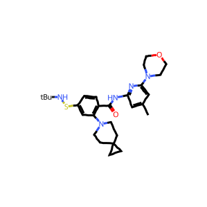 Cc1cc(NC(=O)c2ccc(SNC(C)(C)C)cc2N2CCC3(CC2)CC3)nc(N2CCOCC2)c1